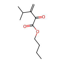 C=C(C(=O)C(=O)OCCCC)C(C)C